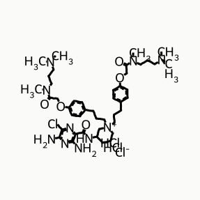 CN(C)CCCN(C)C(=O)COc1ccc(CCC[N+]2(CCCc3ccc(OCC(=O)N(C)CCCN(C)C)cc3)CCCC(NC(=O)c3nc(Cl)c(N)nc3N)C2)cc1.Cl.Cl.[Cl-]